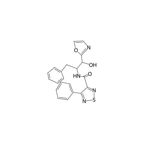 O=C(NC(Cc1ccccc1)C(O)c1ncco1)c1nsnc1-c1ccccc1